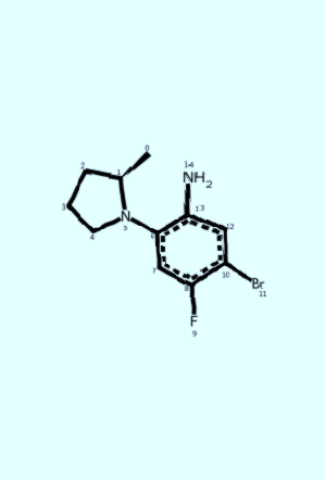 C[C@@H]1CCCN1c1cc(F)c(Br)cc1N